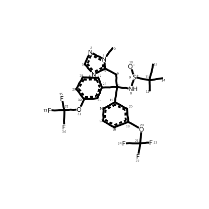 Cn1ncnc1CC(N[S+]([O-])C(C)(C)C)(c1cccc(OC(F)(F)F)c1)c1cccc(OC(F)(F)F)c1